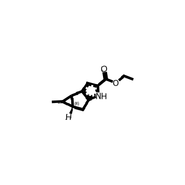 CCOC(=O)c1cc2c([nH]1)C[C@@H]1C(C)C21